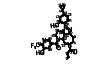 C=CC(=O)N1CCc2nn(-c3ccc(C4CC4)cc3O)c3c2C(C1)N(C(=O)c1cnc(C(F)(F)F)c(O)c1)CC3